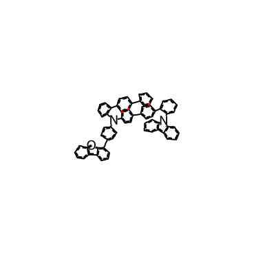 c1ccc(-c2ccc(-c3ccccc3N(c3ccc(-c4ccc(-c5ccccc5-n5c6ccccc6c6ccccc65)cc4)cc3)c3ccc(-c4cccc5c4oc4ccccc45)cc3)cc2)cc1